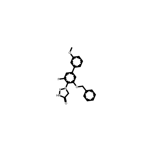 COc1cccc(-c2cc(F)c(N3CC(=O)NS3)c(OCc3ccccc3)c2)c1